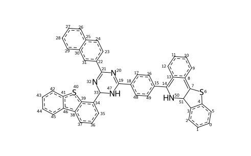 c1ccc2c(c1)SC1=c3ccccc3=C(c3ccc(C4=NC(c5ccc6ccccc6c5)=NC(c5cccc6c5sc5ccccc56)N4)cc3)NC12